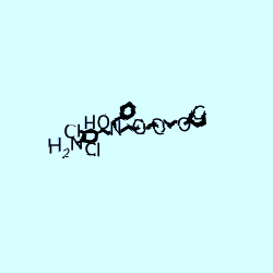 Nc1c(Cl)cc(C(O)CN(CCCOCCOCCCOc2ccccc2)Cc2ccccc2)cc1Cl